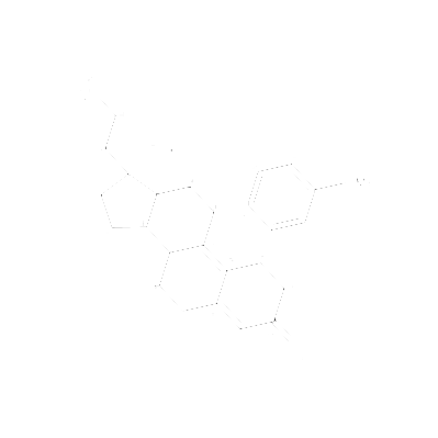 COc1ccc([C@H]2C[C@@]3(C)C(CC[C@@]3(O)CCC(=O)O)C3CCC4=CC(=O)CCC4=C32)cc1